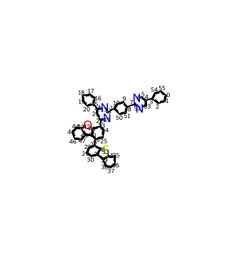 c1ccc(-c2cnc(-c3ccc(-c4nc(-c5ccccc5)cc(-c5ccc(-c6cccc7c6sc6ccccc67)c6c5oc5ccccc56)n4)cc3)nc2)cc1